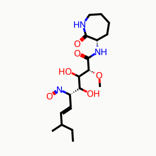 CCC(C)/C=C/[C@H](N=O)C(O)C(O)[C@@H](OC)C(=O)N[C@H]1CCCCNC1=O